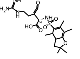 CC1=C2OC(C)(C)CC2C(C)C(S(=O)(=O)N[C@H](C(=O)O)C(=C=O)CCNC(=N)N)=C1C